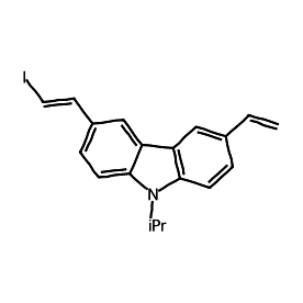 C=Cc1ccc2c(c1)c1cc(/C=C/I)ccc1n2C(C)C